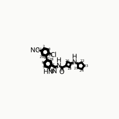 N#Cc1ccc(Cl)c(-c2ccc3[nH]nc(NC(=O)C4CC(NC5CCCC5)C4)c3c2)c1